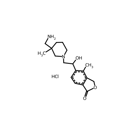 Cc1c(C(O)CN2CCCC(C)(CN)C2)ccc2c1COC2=O.Cl